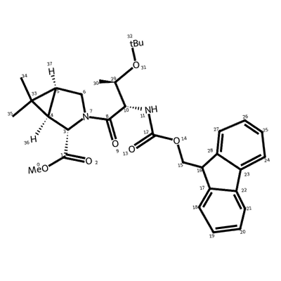 COC(=O)[C@@H]1[C@@H]2[C@H](CN1C(=O)[C@@H](NC(=O)OCC1c3ccccc3-c3ccccc31)[C@@H](C)OC(C)(C)C)C2(C)C